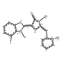 CCn1c(=O)/c(=C2\Sc3cccc(F)c3N2C)s/c1=C\c1cccc[n+]1CC